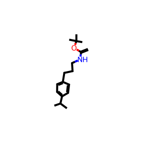 C=C(NCCCc1ccc(C(C)C)cc1)OC(C)(C)C